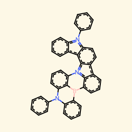 c1ccc(N2c3ccccc3B3c4c2cccc4-n2c4c3cccc4c3ccc4c(c5ccccc5n4-c4ccccc4)c32)cc1